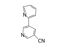 N#Cc1cncc(-c2ccccn2)c1